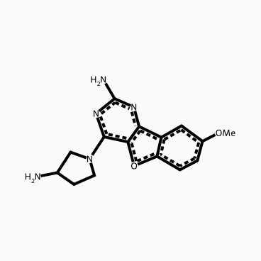 COc1ccc2oc3c(N4CCC(N)C4)nc(N)nc3c2c1